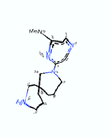 CNc1cncc(N2CCC3(CCNC3)C2)n1